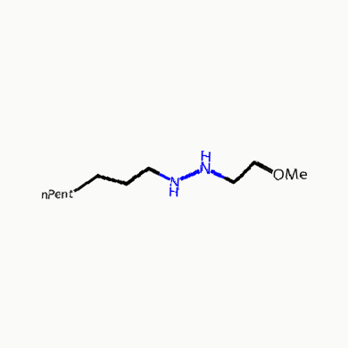 CCCCCCCCNNCCOC